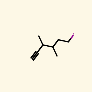 C#CC(C)C(C)CCI